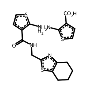 Nc1sccc1C(=O)NCc1nc2c(s1)CCCC2.Nc1sccc1C(=O)O